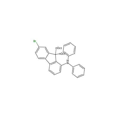 CCCCCCCCC1(CCCCCCCC)c2cc(Br)ccc2-c2cccc([SiH](c3ccccc3)c3ccccc3)c21